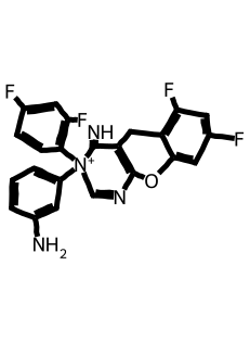 N=C1C2=C(N=C[N+]1(c1cccc(N)c1)c1ccc(F)cc1F)Oc1cc(F)cc(F)c1C2